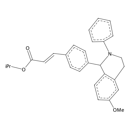 COc1ccc2c(c1)CCN(c1ccccc1)C2c1ccc(/C=C/C(=O)OC(C)C)cc1